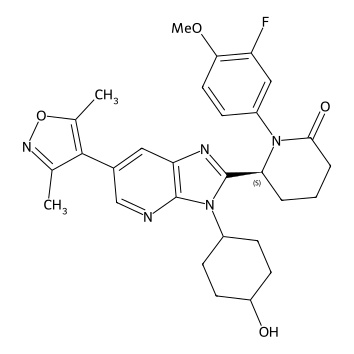 COc1ccc(N2C(=O)CCC[C@H]2c2nc3cc(-c4c(C)noc4C)cnc3n2C2CCC(O)CC2)cc1F